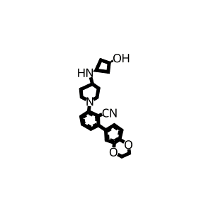 N#Cc1c(-c2ccc3c(c2)OCCO3)cccc1N1CCC(N[C@H]2C[C@H](O)C2)CC1